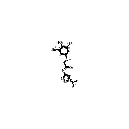 CN(C)[n+]1cc([N-]C(=O)CSc2cc(C(C)(C)C)c(O)c(C(C)(C)C)c2)on1